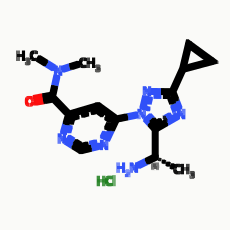 C[C@H](N)c1nc(C2CC2)nn1-c1cc(C(=O)N(C)C)ncn1.Cl